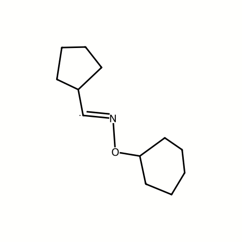 [C](=N\OC1CCCCC1)/C1CCCC1